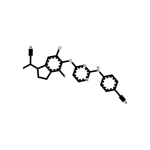 CC(C#N)C1CCc2c1cc(Cl)c(Oc1ccnc(Nc3ccc(C#N)cc3)n1)c2I